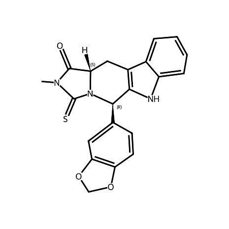 CN1C(=O)[C@@H]2Cc3c([nH]c4ccccc34)[C@@H](c3ccc4c(c3)OCO4)N2C1=S